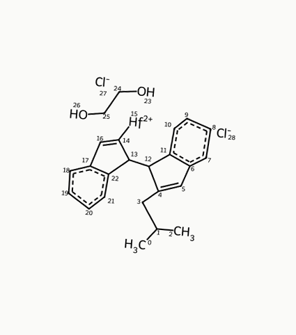 CC(C)CC1=Cc2ccccc2C1C1[C]([Hf+2])=Cc2ccccc21.OCCO.[Cl-].[Cl-]